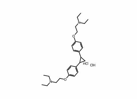 CCN(CC)CCOc1ccc(C2CC2c2ccc(OCCN(CC)CC)cc2)cc1.Cl.Cl